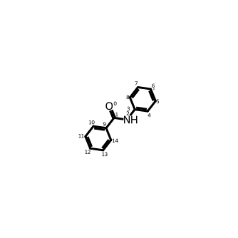 O=C(Nc1cc[c]cc1)c1ccccc1